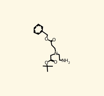 CC(C)(C)OC(=O)CN(CCN)CCC(=O)OCc1ccccc1